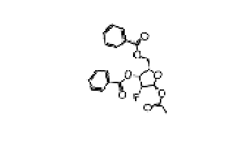 CC(=O)O[C@@H]1O[C@H](COC(=O)c2ccccc2)[C@@H](OC(=O)c2ccccc2)[C@@H]1F